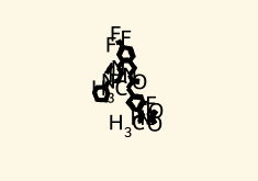 CC(C(=O)NCc1ccc(C(F)(F)F)cc1N1CCN(C2CCCCC2)CC1)c1ccc(N(C)[SH](=O)=O)c(F)c1